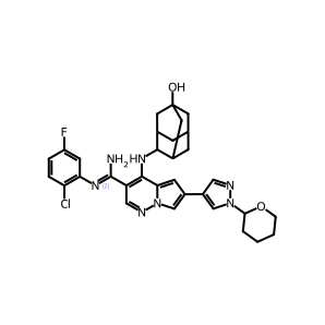 N/C(=N\c1cc(F)ccc1Cl)c1cnn2cc(-c3cnn(C4CCCCO4)c3)cc2c1NC1C2CC3CC1CC(O)(C3)C2